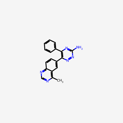 Cc1ncnc2ccc(-c3nnc(N)nc3-c3ccccc3)cc12